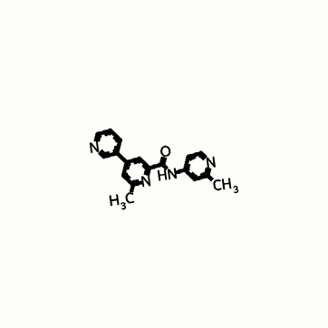 Cc1cc(NC(=O)c2cc(-c3cccnc3)cc(C)n2)ccn1